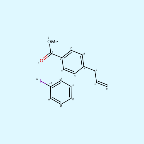 C=CCc1ccc(C(=O)OC)cc1.Ic1ccccc1